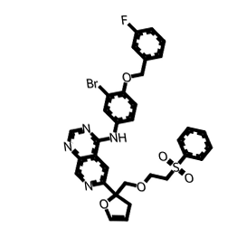 O=S(=O)(CCOCC1(c2cc3c(Nc4ccc(OCc5cccc(F)c5)c(Br)c4)ncnc3cn2)CC=CO1)c1ccccc1